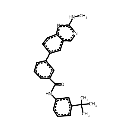 CNc1ncc2cc(-c3cccc(C(=O)Nc4cccc(C(C)(C)C)c4)c3)ccc2n1